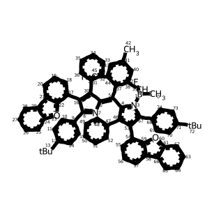 CB(F)n1c(/C(=C2\N=C(c3ccc(C(C)(C)C)cc3)C(c3cccc4c3oc3ccccc34)=C2c2ccccc2)c2c(C)cc(C)cc2C)c(-c2ccccc2)c(-c2cccc3c2oc2ccccc23)c1-c1ccc(C(C)(C)C)cc1